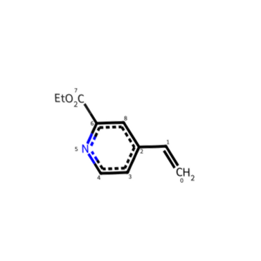 C=Cc1ccnc(C(=O)OCC)c1